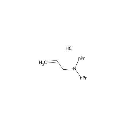 C=CCN(CCC)CCC.Cl